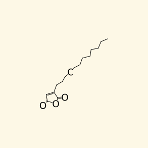 CCCCCCCCCCCCC1=CC(=O)OC1=O